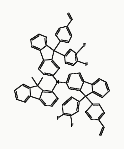 C=Cc1ccc(C2(c3ccc(F)c(F)c3)c3ccccc3-c3ccc(N(c4ccc5c(c4)C(c4ccc(C=C)cc4)(c4ccc(F)c(F)c4)c4ccccc4-5)c4cccc5c4C(C)(C)c4ccccc4-5)cc32)cc1